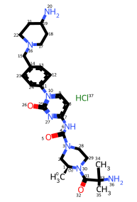 C[C@H]1CN(C(=O)Nc2ccn(-c3ccc(CN4CCC(N)CC4)cc3)c(=O)n2)CCN1C(=O)C(C)(C)N.Cl